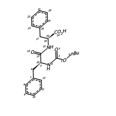 CCCCOC(=O)N[C@@H](Cc1ccccc1)C(=O)N[C@@H](Cc1ccccc1)C(=O)O